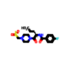 O=C(O)CC[C@H](NC(=O)c1ccc(F)cc1)C(=O)N1CCN(C[SH](=O)=O)CC1